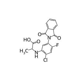 CC(Nc1cc(N2C(=O)c3ccccc3C2=O)c(F)cc1Cl)C(=O)O